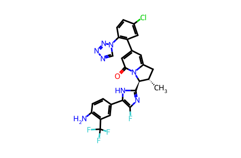 C[C@H]1Cc2cc(-c3cc(Cl)ccc3-n3cnnn3)cc(=O)n2[C@@H]1c1nc(F)c(-c2ccc(N)c(C(F)(F)F)c2)[nH]1